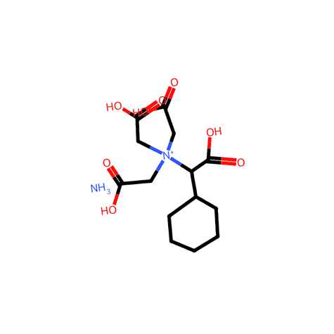 N.O=C(O)C[N+](CC(=O)O)(CC(=O)O)C(C(=O)O)C1CCCCC1